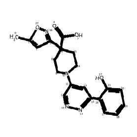 Cc1cc(C2(C(=O)O)CCN(c3cnnc(-c4ccccc4O)c3)CC2)no1